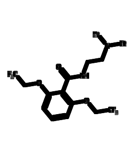 CCN(CC)CCNC(=O)c1c(OCC(F)(F)F)cccc1OCC(F)(F)F